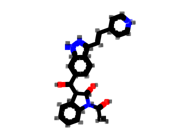 CC(=O)N1C(=O)C(C(=O)c2ccc3c(C=Cc4ccncc4)n[nH]c3c2)c2ccccc21